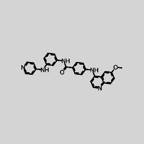 COc1ccc2nccc(Nc3ccc(C(=O)Nc4cccc(Nc5ccncc5)c4)cc3)c2c1